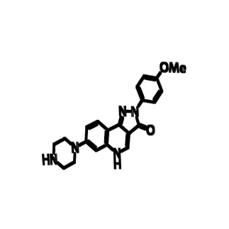 COc1ccc(-n2nc3c4ccc(N5CCNCC5)cc4[nH]cc-3c2=O)cc1